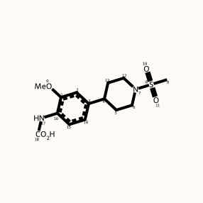 COc1cc(C2CCN(S(C)(=O)=O)CC2)ccc1NC(=O)O